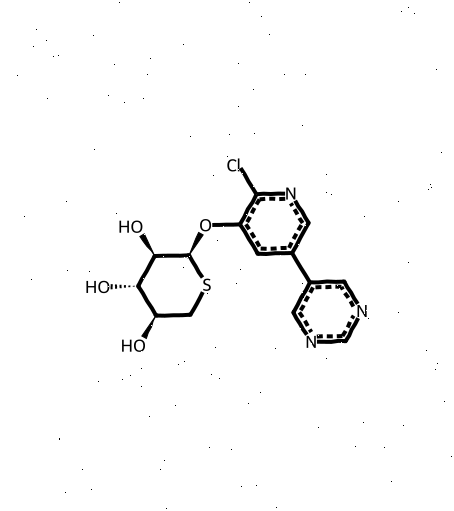 O[C@@H]1[C@@H](O)[C@@H](Oc2cc(-c3cncnc3)cnc2Cl)SC[C@H]1O